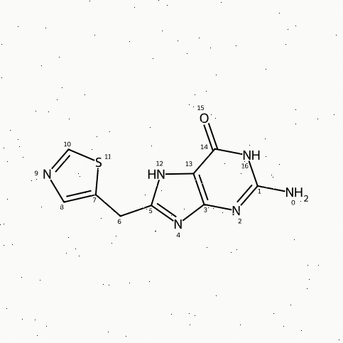 Nc1nc2nc(Cc3cncs3)[nH]c2c(=O)[nH]1